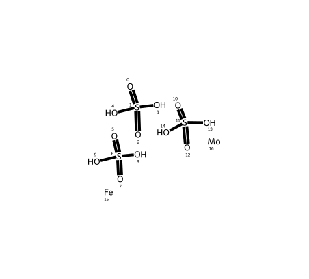 O=S(=O)(O)O.O=S(=O)(O)O.O=S(=O)(O)O.[Fe].[Mo]